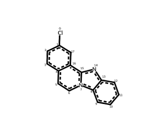 Clc1ccc2ccn3c4ccccc4nc3c2c1